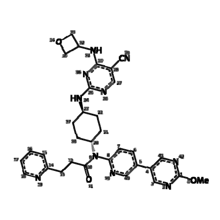 COc1ncc(-c2ccc(N(C(=O)CCc3ccccn3)[C@H]3CC[C@H](Nc4ncc(C#N)c(NC5COC5)n4)CC3)nc2)cn1